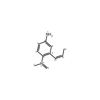 C=[N+](C)c1ccc(N)cc1/C=C\C